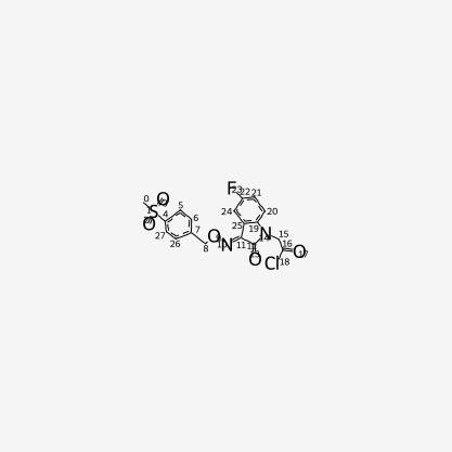 CS(=O)(=O)c1ccc(CO/N=C2/C(=O)N(CC(=O)Cl)c3ccc(F)cc32)cc1